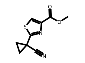 COC(=O)c1csc(C2(C#N)CC2)n1